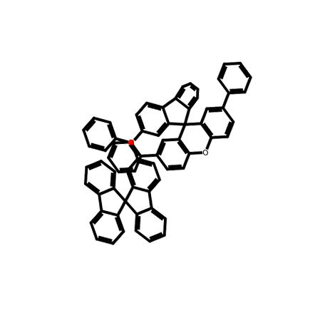 c1ccc(-c2ccc3c(c2)C2(c4cc(-c5ccccc5)ccc4O3)c3ccccc3-c3ccc(N(c4ccccc4)c4ccc5c(c4)C4(c6ccccc6-c6ccccc64)c4ccccc4-5)cc32)cc1